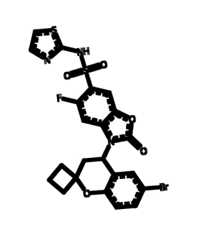 O=c1oc2cc(S(=O)(=O)Nc3nccs3)c(F)cc2n1C1CC2(CCC2)Oc2ccc(Br)cc21